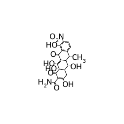 C[C@H]1c2ccc([N+](=O)[O-])c(O)c2C(=O)C2=C(O)[C@]3(O)C(=O)C(C(N)=O)=C(O)CC3[C@@H](O)C21